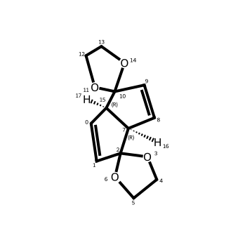 C1=CC2(OCCO2)[C@@H]2C=CC3(OCCO3)[C@H]12